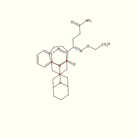 NC(=O)CC/C(=N\OCC(=O)O)c1nc2ccccc2n(C2CC3CCCC(C2)N3C2CC3CCCCC(C3)C2)c1=O